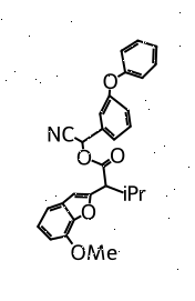 COc1cccc2cc(C(C(=O)OC(C#N)c3cccc(Oc4ccccc4)c3)C(C)C)oc12